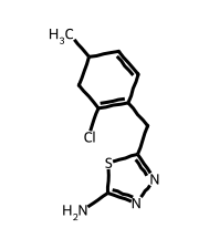 CC1C=CC(Cc2nnc(N)s2)=C(Cl)C1